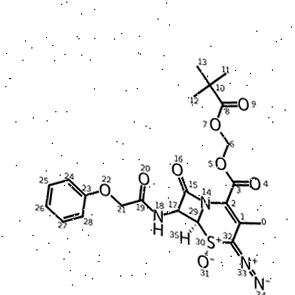 CC1=C(C(=O)OCOC(=O)C(C)(C)C)N2C(=O)C(NC(=O)COc3ccccc3)[C@@H]2[S@@+]([O-])C1=[N+]=[N-]